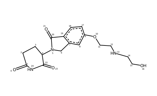 O=C1CCC(N2Cc3cc(OCCNCCO)ccc3C2=O)C(=O)N1